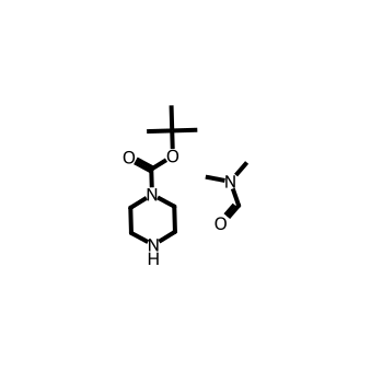 CC(C)(C)OC(=O)N1CCNCC1.CN(C)C=O